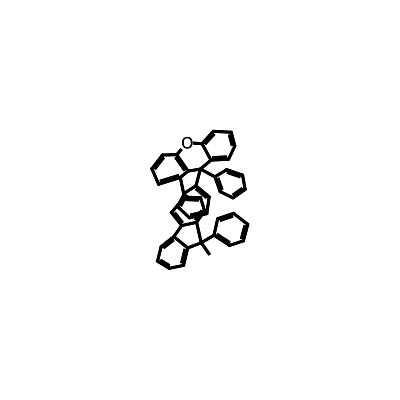 CC1(c2ccccc2)c2ccccc2-c2cc(-c3cccc4c3C(c3ccccc3)(c3ccccc3)c3ccccc3O4)ccc21